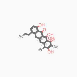 CC(=O)CCc1ccc(O)c2c1C[C@]1(C)C[C@]3(C)C(C(C)C)C(O)=C(C(C)=O)C(=O)[C@]3(O)C(O)=C1C2=O